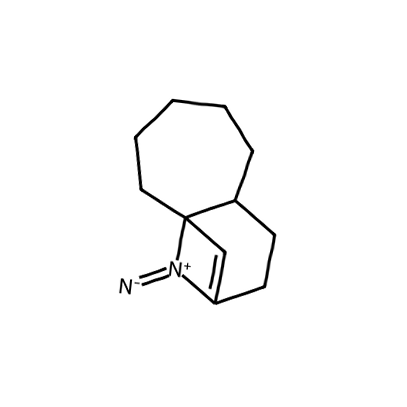 [N-]=[N+]1C2=CC13CCCCCC3CC2